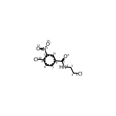 O=C(NCCCl)c1ccc(Cl)c([N+](=O)[O-])c1